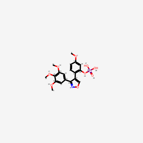 COc1ccc(-c2conc2-c2cc(OC)c(OC)c(OC)c2)c(OP(=O)(O)O)c1